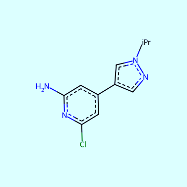 CC(C)n1cc(-c2cc(N)nc(Cl)c2)cn1